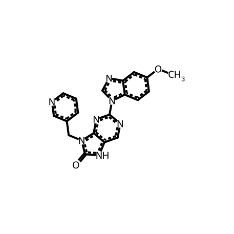 COc1ccc2c(c1)ncn2-c1ncc2[nH]c(=O)n(Cc3cccnc3)c2n1